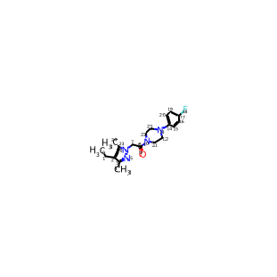 CCc1c(C)nn(CC(=O)N2CCN(c3ccc(F)cc3)CC2)c1C